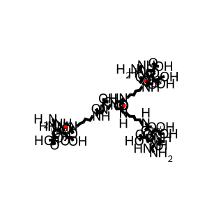 CC(=O)N[C@H]1[C@H]([C@H](OC(=O)NCCCCCCNC(=O)CN(CCN(CC(=O)NCCCCCCNC(=O)O[C@@H]([C@@H]2OC(C(=O)O)=C[C@H](NC(=N)N)[C@H]2NC(C)=O)[C@H](O)CO)CC(=O)NCCCCCCNC(=O)O[C@@H](C2OC(C(=O)O)=C[C@H](NC(=N)N)[C@H]2NC(C)=O)[C@H](O)CO)CC(=O)O)[C@H](O)CO)OC(C(=O)O)=C[C@@H]1NC(=N)N